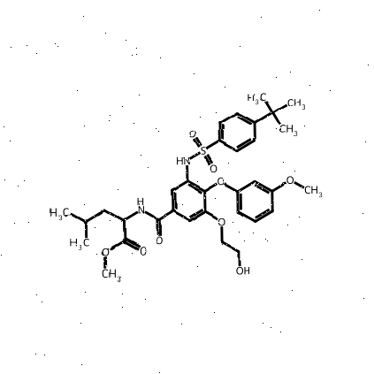 COC(=O)C(CC(C)C)NC(=O)c1cc(NS(=O)(=O)c2ccc(C(C)(C)C)cc2)c(Oc2cccc(OC)c2)c(OCCO)c1